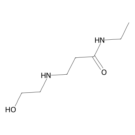 CCNC(=O)CCNCCO